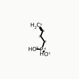 C=CCC[PH](=O)O